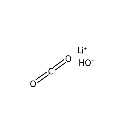 O=C=O.[Li+].[OH-]